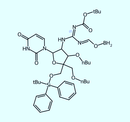 BOC=N/C(=N\C(=O)OC(C)(C)C)NC1C(n2ccc(=O)[nH]c2=O)OC(COCCCC)(CO[Si](c2ccccc2)(c2ccccc2)C(C)(C)C)C1OCCCC